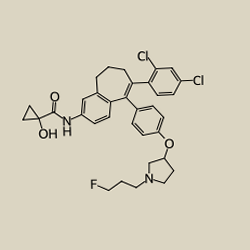 O=C(Nc1ccc2c(c1)CCCC(c1ccc(Cl)cc1Cl)=C2c1ccc(OC2CCN(CCCF)C2)cc1)C1(O)CC1